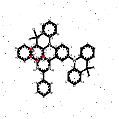 CC1(C)c2ccccc2N(c2ccc(N3c4ccccc4C(C)(C)c4ccccc43)c(-c3nc(-c4ccccc4)nc(-c4ccccc4)n3)c2)c2ccccc21